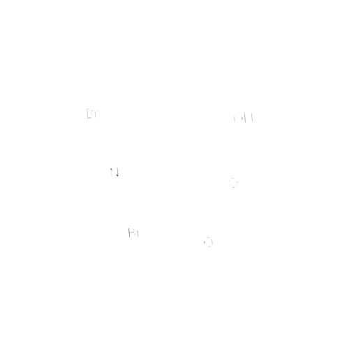 O=C1OC(O)c2cc(Br)nc(Br)c21